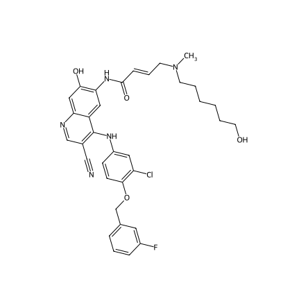 CN(C/C=C/C(=O)Nc1cc2c(Nc3ccc(OCc4cccc(F)c4)c(Cl)c3)c(C#N)cnc2cc1O)CCCCCCO